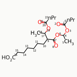 CCCC(=O)OC(C)OC(=O)C(CCCCCCC(=O)O)C(C)OC(=O)CCC